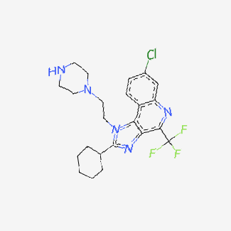 FC(F)(F)c1nc2cc(Cl)ccc2c2c1nc(C1CCCCC1)n2CCN1CCNCC1